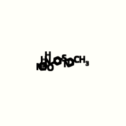 Cc1ccnc(Sc2ccc(C(=O)N[C@H]3CN4CCC3CC4)cc2)c1